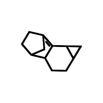 C1CC2CC1=C1C2CCC2CC12